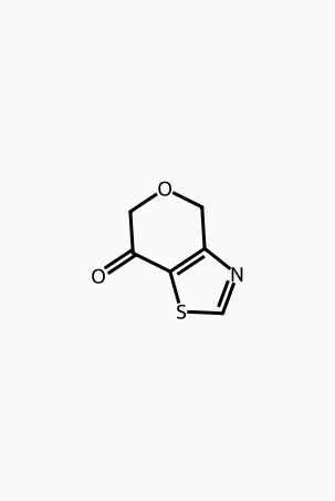 O=C1COCc2ncsc21